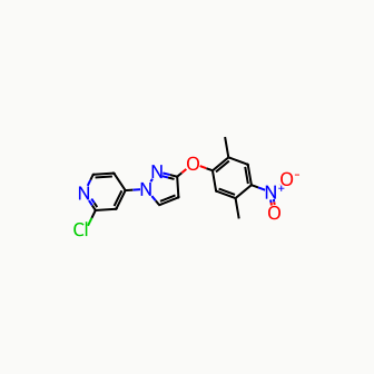 Cc1cc([N+](=O)[O-])c(C)cc1Oc1ccn(-c2ccnc(Cl)c2)n1